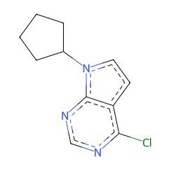 Clc1ncnc2c1ccn2C1CCCC1